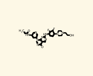 C=CC(=O)Nc1cncc(-n2cnc(=O)c3cnc(Nc4ccc(N5CCN(CCO)CC5)c(F)c4F)nc32)c1